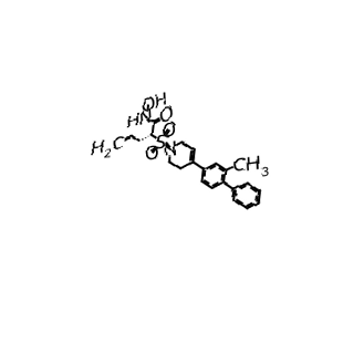 C=CC[C@H](C(=O)NO)S(=O)(=O)N1CC=C(c2ccc(-c3ccccc3)c(C)c2)CC1